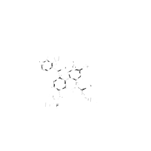 CCS(=O)(=O)Cc1ccc(C(=O)c2ccncc2Cl)c(-c2cn(C)c(=O)cc2N(C)C(=O)OC(C)(C)C)c1